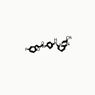 N#Cc1cn2c(Nc3ccc(NC(=O)c4cc5cc(F)ccc5o4)cc3)cccc2n1